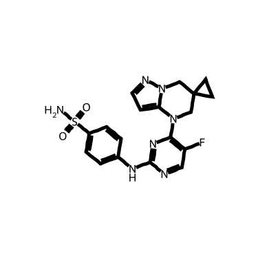 NS(=O)(=O)c1ccc(Nc2ncc(F)c(N3CC4(CC4)Cn4nccc43)n2)cc1